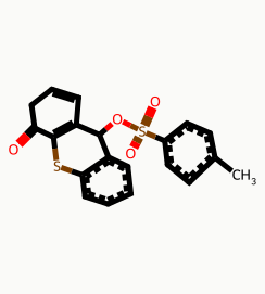 Cc1ccc(S(=O)(=O)OC2C3=C(Sc4ccccc42)C(=O)CC=C3)cc1